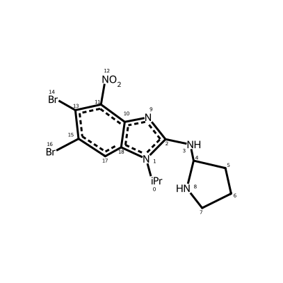 CC(C)n1c(NC2CCCN2)nc2c([N+](=O)[O-])c(Br)c(Br)cc21